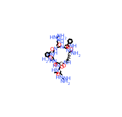 CC(=O)N[C@@H](CCCNC(=N)N)C(=O)N[C@H]1CC(=O)NCCCCC(C(N)=O)NC(=O)[C@H](Cc2c[nH]c3ccccc23)NC(=O)[C@H](CCCNC(=N)N)NC(=O)[C@@H](Cc2ccccc2)NC(=O)[C@H](CN)NC1=O